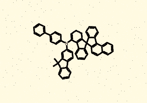 CC1(C)c2ccccc2-c2ccc(N(C3=CCCC4=C3c3ccccc3C43c4ccccc4-c4c3ccc3ccccc43)c3ccc(-c4ccccc4)cc3)cc21